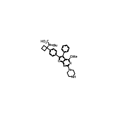 COc1nc(N2CCNCC2)nc2oc(-c3ccc(C4(N(C(=O)O)C(C)(C)C)CCC4)cc3)c(-c3ccccc3)c12